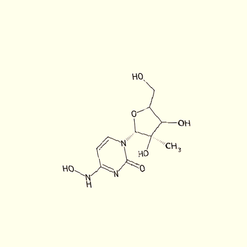 C[C@@]1(O)C(O)C(CO)O[C@H]1n1ccc(NO)nc1=O